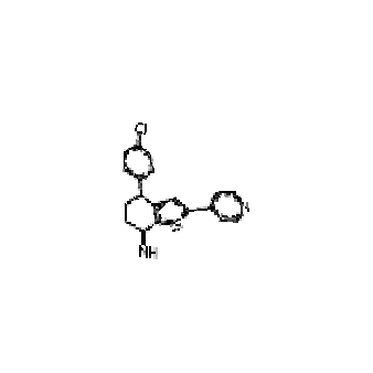 N=C1CCC(c2ccc(Cl)cc2)c2cc(-c3ccncc3)sc21